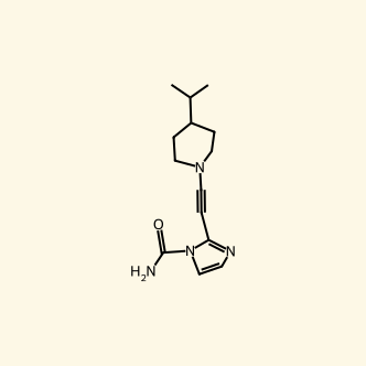 CC(C)C1CCN(C#Cc2nccn2C(N)=O)CC1